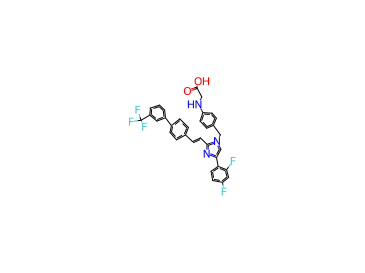 O=C(O)CNc1ccc(Cn2cc(-c3ccc(F)cc3F)nc2C=Cc2ccc(-c3cccc(C(F)(F)F)c3)cc2)cc1